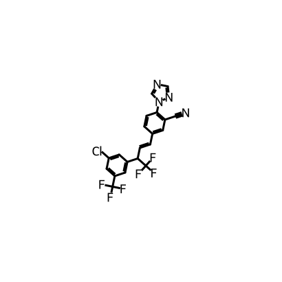 N#Cc1cc(/C=C/C(c2cc(Cl)cc(C(F)(F)F)c2)C(F)(F)F)ccc1-n1cncn1